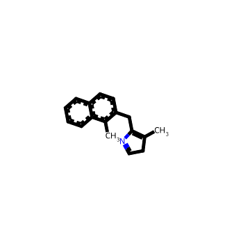 CC1=C(Cc2ccc3ccccc3c2C)N=CC1